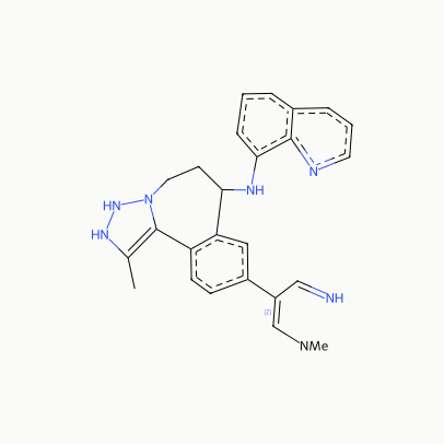 CN/C=C(\C=N)c1ccc2c(c1)C(Nc1cccc3cccnc13)CCN1NNC(C)=C21